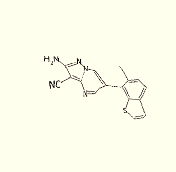 Cc1ccc2ccsc2c1-c1cnc2c(C#N)c(N)nn2c1